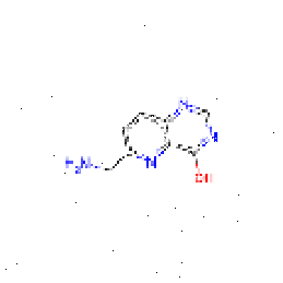 NCc1ccc2ncnc(O)c2n1